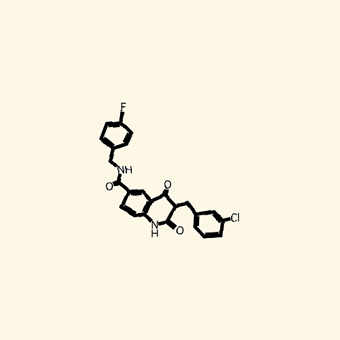 O=C(NCc1ccc(F)cc1)c1ccc2c(c1)C(=O)C(Cc1cccc(Cl)c1)C(=O)N2